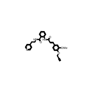 C#CCOc1ccc(/C=C/C(=O)Nc2ccccc2C(=O)NCCc2ccncc2)cc1OC